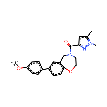 Cc1cc(C(=O)N2CCOc3ccc(-c4ccc(OC(F)(F)F)cc4)cc3C2)nn1C